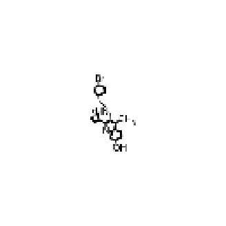 Cc1c(CNCCc2ccc(Br)cc2)c(-c2ccsc2)nc2cc(O)ccc12